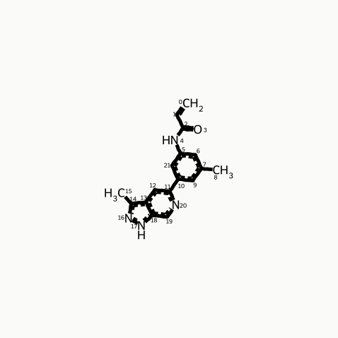 C=CC(=O)Nc1cc(C)cc(-c2cc3c(C)n[nH]c3cn2)c1